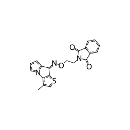 Cc1csc2c1-n1cccc1C2=NOCCN1C(=O)c2ccccc2C1=O